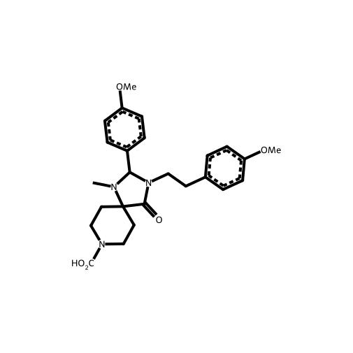 COc1ccc(CCN2C(=O)C3(CCN(C(=O)O)CC3)N(C)C2c2ccc(OC)cc2)cc1